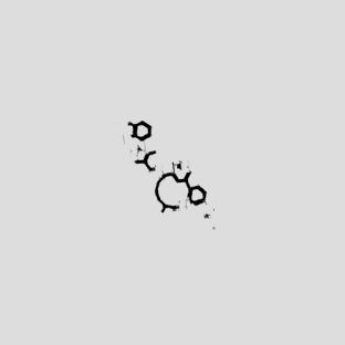 COC(=O)Nc1ccc2c(c1)NC(=O)C(C)CCC[C@H](NC(=O)c1cnn(-c3cccc(Cl)c3F)c1C)c1cc-2cnn1